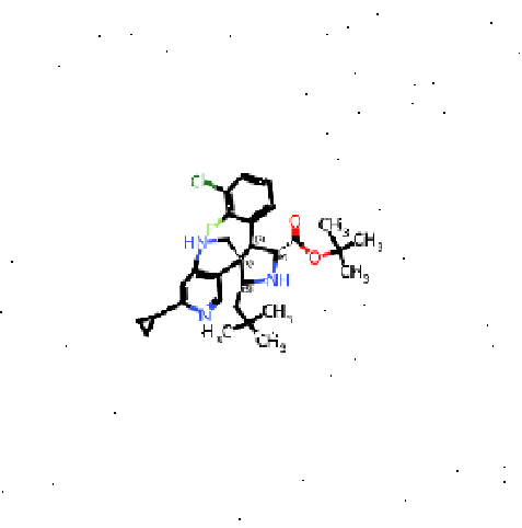 CC(C)(C)C[C@@H]1N[C@@H](C(=O)OC(C)(C)C)[C@H](c2cccc(Cl)c2F)[C@]12CNc1cc(C3CC3)ncc12